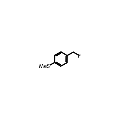 CSc1ccc(CF)cc1